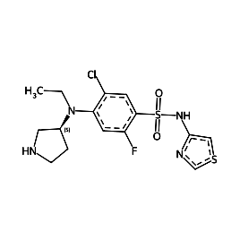 CCN(c1cc(F)c(S(=O)(=O)Nc2cscn2)cc1Cl)[C@H]1CCNC1